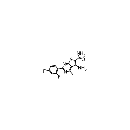 Cc1nc(-c2ccc(F)cc2F)nc2sc(C(N)=O)c(N)c12